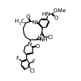 COC(=O)Nc1ccc2c(c1)NC(=O)[C@H](C)CCCC(N1CCC(c3c(F)ccc(Cl)c3F)=CC1=O)c1nc-2c(Cl)[nH]1